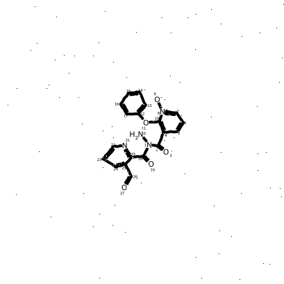 NN(C(=O)c1ccc[n+]([O-])c1Oc1ccccc1)C(=O)c1ncccc1[C]=O